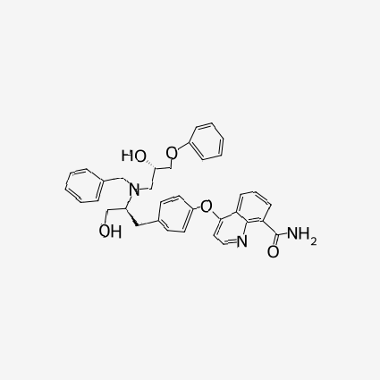 NC(=O)c1cccc2c(Oc3ccc(C[C@@H](CO)N(Cc4ccccc4)C[C@H](O)COc4ccccc4)cc3)ccnc12